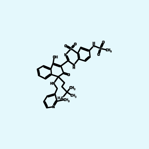 Cc1ncccc1CNC1(CCC(C)(C)C)C(=O)C(C2=NS(=O)(=O)c3cc(NS(C)(=O)=O)ccc3N2)=C(O)c2ccccc21